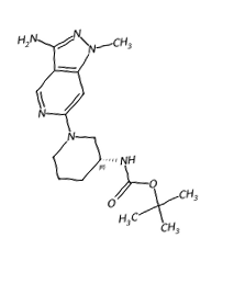 Cn1nc(N)c2cnc(N3CCC[C@@H](NC(=O)OC(C)(C)C)C3)cc21